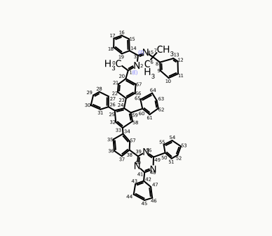 C/C(=N\C(=N/C(C)(C)c1ccccc1)c1ccccc1)c1ccc(-c2c(-c3ccccc3)cc(-c3cccc(-c4nc(-c5ccccc5)nc(-c5ccccc5)n4)c3)cc2-c2ccccc2)cc1